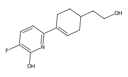 OCCC1CC=C(c2ccc(F)c(O)n2)CC1